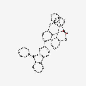 c1ccc(-c2cccc3c2C2(c4ccccc4Sc4ccc(-c5ccc6c7ccccc7n(-c7ccccc7)c6c5)cc42)c2ccccc2S3)cc1